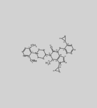 COc1nccc(C)c1N1CCC(N2C(=O)N(Cc3ccccc3C3CC3)c3cnn(C4CC4)c3C2C)CC1